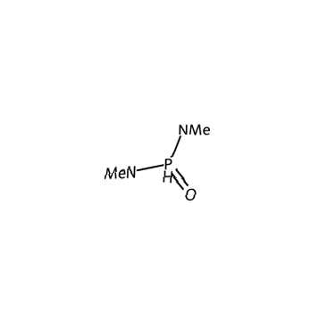 CN[PH](=O)NC